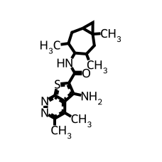 Cc1nnc2sc(C(=O)NC3C(C)CC4CC4(C)CC3C)c(N)c2c1C